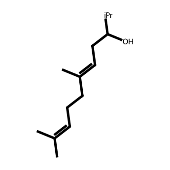 CC(C)=CCC/C(C)=C/CC(O)C(C)C